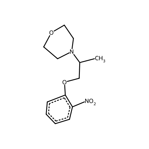 CC(COc1ccccc1[N+](=O)[O-])N1CCOCC1